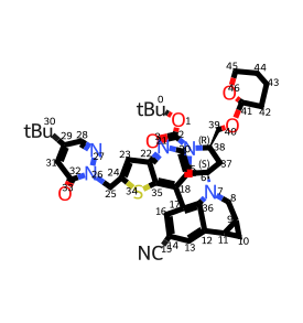 CC(C)(C)OC(=O)N1C[C@@H](N2CC3CC3c3cc(C#N)cc(-c4ccnc5cc(Cn6ncc(C(C)(C)C)cc6=O)sc45)c32)C[C@@H]1COC1CCCCO1